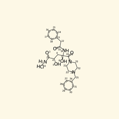 Cl.NC(=O)C(O)C[C@](O)(NC(=O)Cc1ccccc1)C(=O)N1CCN(Cc2ccccc2)CC1